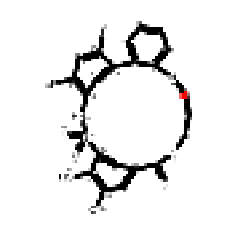 O=C1OCC2CN(C2)c2ccccc2-c2cc(c(F)cc2F)NS(=O)(=O)c2cc1cc(Cl)c2O